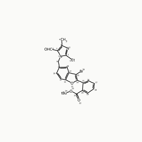 CCc1nc(C)c(C=O)n1Cc1ccc2oc(-c3ccccc3C(=O)OC(C)(C)C)c(Br)c2c1